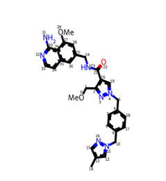 COCc1nn(Cc2ccc(Cn3cc(C)cn3)cc2)cc1C(=O)NCc1cc(OC)c2c(N)nccc2c1